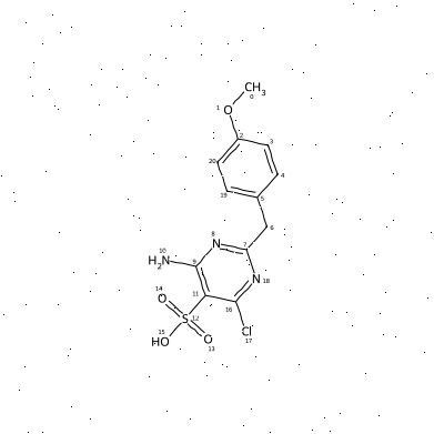 COc1ccc(Cc2nc(N)c(S(=O)(=O)O)c(Cl)n2)cc1